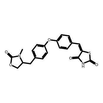 CN1C(=O)OCC1Cc1ccc(Oc2ccc(C=C3SC(=O)NC3=O)cc2)cc1